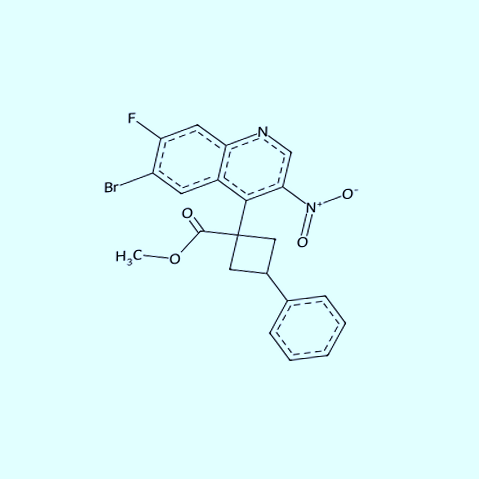 COC(=O)C1(c2c([N+](=O)[O-])cnc3cc(F)c(Br)cc23)CC(c2ccccc2)C1